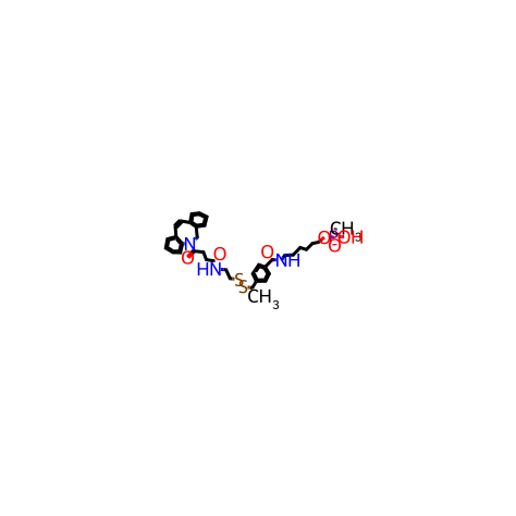 CC(SSCCNC(=O)CCC(=O)N1Cc2ccccc2C#Cc2ccccc21)c1ccc(C(=O)NCCCCCCOP(C)(=O)O)cc1